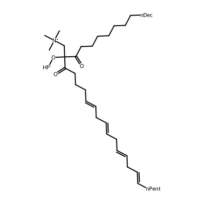 CCCCCC=CCC=CCC=CCC=CCCCC(=O)C(C[N+](C)(C)C)(O[PH-])C(=O)CCCCCCCCCCCCCCCCC